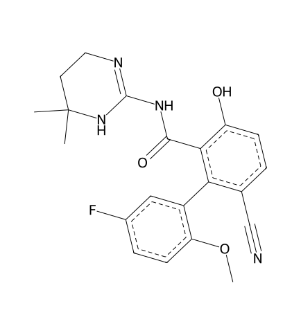 COc1ccc(F)cc1-c1c(C#N)ccc(O)c1C(=O)NC1=NCCC(C)(C)N1